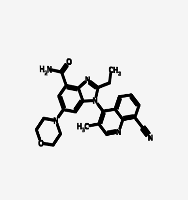 CCc1nc2c(C(N)=O)cc(N3CCOCC3)cc2n1-c1c(C)cnc2c(C#N)cccc12